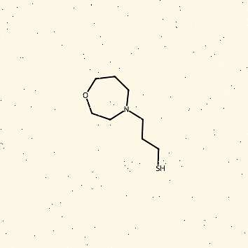 SCCCN1CCCOCC1